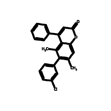 Cc1cc2oc(=O)cc(-c3ccccc3)c2c(C)c1-c1cccc(Cl)c1